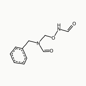 O=CNOCN(C=O)Cc1ccccc1